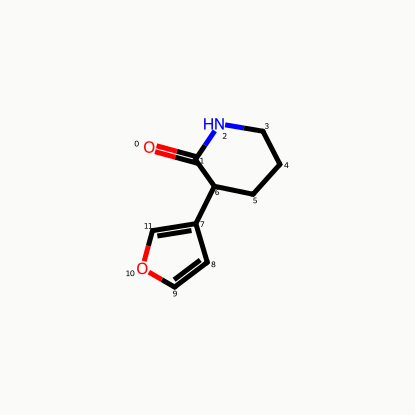 O=C1NCCCC1c1ccoc1